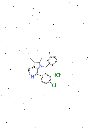 Cc1cccc(Cn2c(C)c(C)c3ccnc(-c4ccc(Cl)cc4)c32)c1.Cl